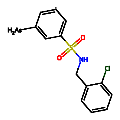 O=S(=O)(NCc1ccccc1Cl)c1c[c]cc([AsH2])c1